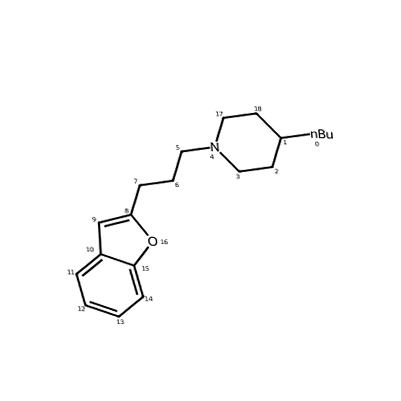 CCCCC1CCN(CCCc2cc3ccccc3o2)CC1